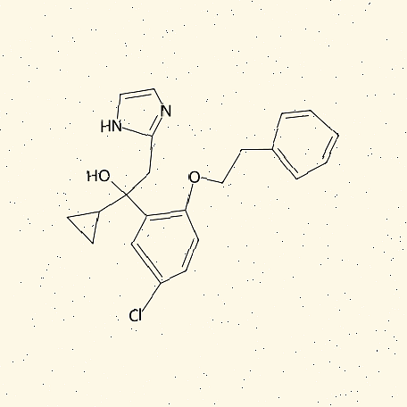 OC(Cc1ncc[nH]1)(c1cc(Cl)ccc1OCCc1ccccc1)C1CC1